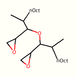 CCCCCCCCC(C)C(OC(C(C)CCCCCCCC)C1CO1)C1CO1